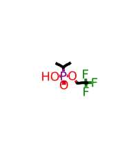 CC(C)P(=O)(O)OCC(F)(F)F